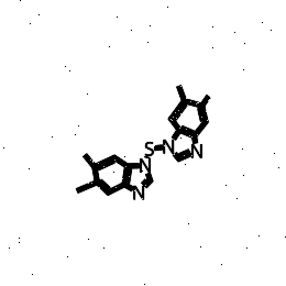 Cc1cc2ncn(Sn3cnc4cc(C)c(C)cc43)c2cc1C